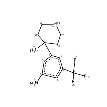 CC1(c2cc(N)cc(C(F)(F)F)c2)CCNCC1